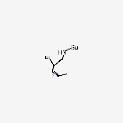 C/C=C\C(CC)CNC(C)CC